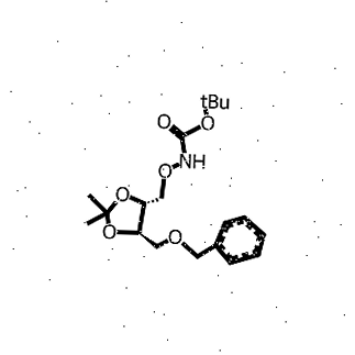 CC(C)(C)OC(=O)NOC[C@H]1OC(C)(C)O[C@@H]1COCc1ccccc1